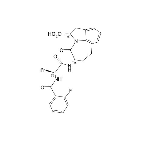 CC(C)[C@H](NC(=O)c1ccccc1F)C(=O)N[C@H]1CCc2cccc3c2N(C1=O)[C@H](C(=O)O)C3